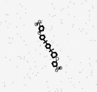 CC(C)(c1ccc(Oc2cccc([N+](=O)[O-])c2)cc1)c1ccc(C(C)(C)c2ccc(Oc3cccc([N+](=O)[O-])c3)cc2)cc1